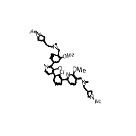 COc1cc(-c2nccc(-c3cccc(-c4ccc(CN(C)CC5CN(C(C)=O)C5)c(OC)n4)c3Cl)c2Cl)ccc1CN(C)CC1CN(C(C)=O)C1